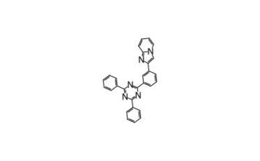 c1ccc(-c2nc(-c3ccccc3)nc(-c3cccc(-c4cn5ccccc5n4)c3)n2)cc1